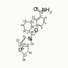 COC1(c2cccc(C(N)=O)c2)C(C)CCCC1CN(C)/C=C(/C)C1CCC(C)O1